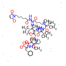 CC[C@H](C)[C@@H]([C@@H](CC(=O)N1CCC[C@H]1[C@H](OC)[C@@H](C)C(=O)N[C@@H](Cc1ccccc1)C(=O)O)OC)N(C)C(=O)[C@@H](NC(=O)[C@H](C(C)C)N(C)CCCC(=O)NNC(=O)CCCCCN1C(=O)C=CC1=O)C(C)C